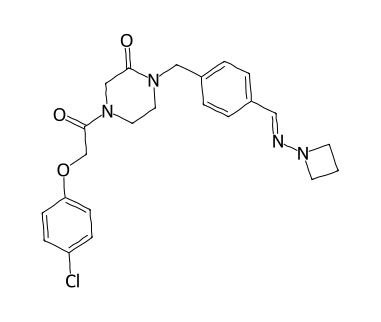 O=C(COc1ccc(Cl)cc1)N1CCN(Cc2ccc(C=NN3CCC3)cc2)C(=O)C1